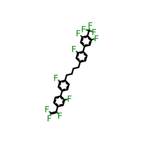 FC(F)=C(F)c1ccc(-c2ccc(CCCCc3ccc(-c4cc(F)c(C(F)(F)F)c(F)c4)c(F)c3)c(F)c2)c(F)c1